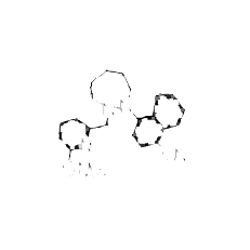 COc1cccc(CN2CCCCCN2c2ccc(C#N)c3ccccc23)n1